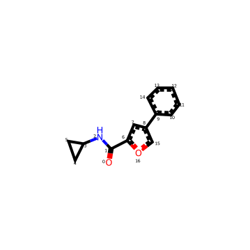 O=C(NC1CC1)c1cc(-c2ccccc2)co1